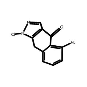 CCc1cccc2c1C(=O)c1cnn(Cl)c1C2